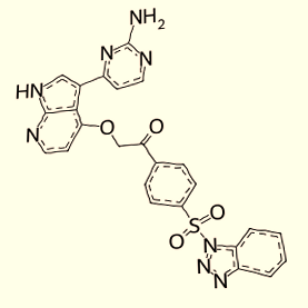 Nc1nccc(-c2c[nH]c3nccc(OCC(=O)c4ccc(S(=O)(=O)n5nnc6ccccc65)cc4)c23)n1